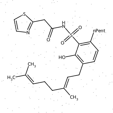 CCCCCc1ccc(C/C=C(\C)CCC=C(C)C)c(O)c1S(=O)(=O)NC(=O)Cc1nccs1